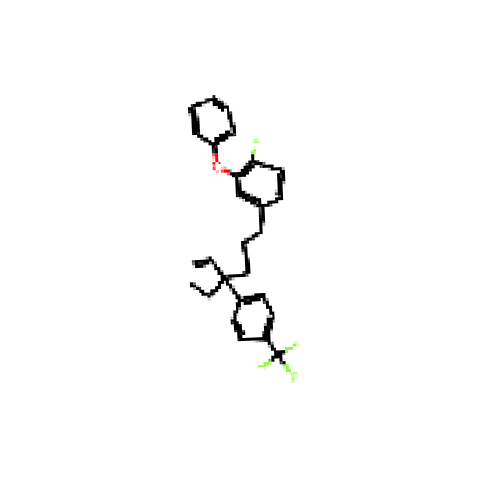 C=CC(CC)(CCCc1ccc(F)c(Oc2ccccc2)c1)c1ccc(C(F)(F)F)cc1